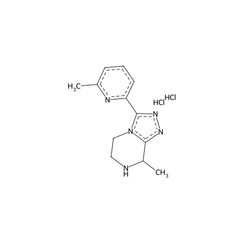 Cc1cccc(-c2nnc3n2CCNC3C)n1.Cl.Cl